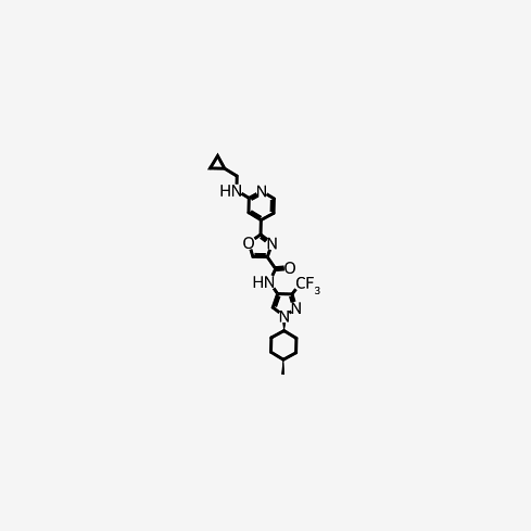 C[C@H]1CC[C@@H](n2cc(NC(=O)c3coc(-c4ccnc(NCC5CC5)c4)n3)c(C(F)(F)F)n2)CC1